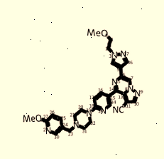 COCCn1cc(-c2cn3ncc(C#N)c3c(-c3ccc(N4CCN(Cc5ccc(OC)nc5)CC4)nc3)n2)cn1